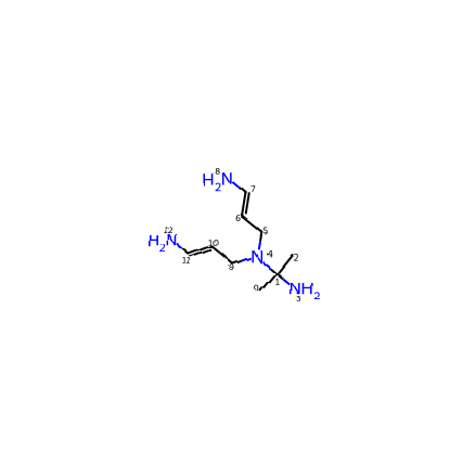 CC(C)(N)N(CC=CN)CC=CN